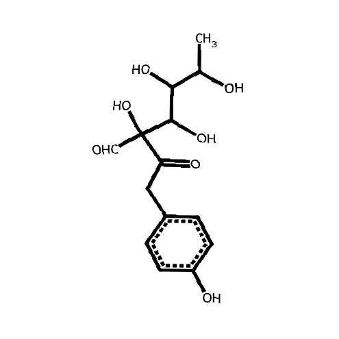 CC(O)C(O)C(O)C(O)(C=O)C(=O)Cc1ccc(O)cc1